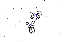 Cc1c(C)n(-c2ccccc2)c2c(/C=C/c3ccc(N(c4ccccc4)c4ccc5ccc6cccc7ccc4c5c67)cc3)cccc12